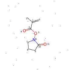 C=C(C)C(=O)ON1CCCC1=O